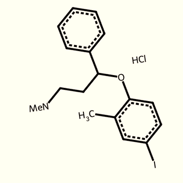 CNCCC(Oc1ccc(I)cc1C)c1ccccc1.Cl